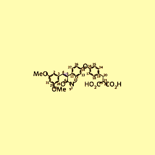 COc1cc(/C=C(\C(=O)N(C)C)c2ccc(Oc3ccc(CC(C(=O)O)C(=O)O)cc3)cc2)cc(OC)c1